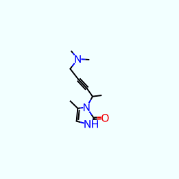 Cc1c[nH]c(=O)n1C(C)C#CCN(C)C